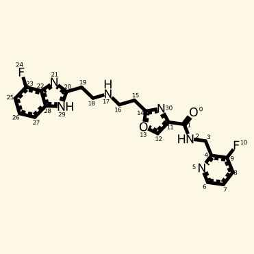 O=C(NCc1ncccc1F)c1coc(CCNCCc2nc3c(F)cccc3[nH]2)n1